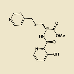 COC(=O)[C@H](CSCc1ccncc1)NC(=O)c1ncccc1O